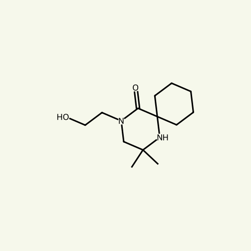 CC1(C)CN(CCO)C(=O)C2(CCCCC2)N1